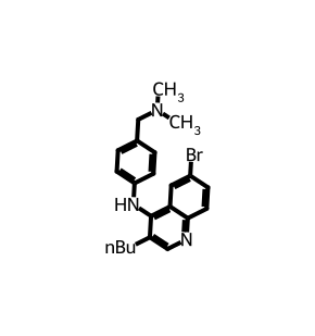 CCCCc1cnc2ccc(Br)cc2c1Nc1ccc(CN(C)C)cc1